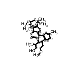 C=C(CO)C1C(CCOC)c2ccc(C)cc2-c2c3sc4c(c3nc[n+]21)[Si](C)(C)CC[Si]4(C)C